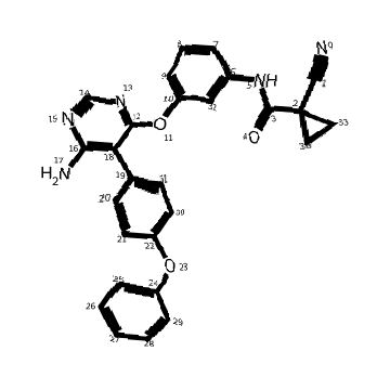 N#CC1(C(=O)Nc2cccc(Oc3ncnc(N)c3-c3ccc(Oc4ccccc4)cc3)c2)CC1